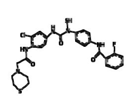 O=C(CN1CCSCC1)Nc1ccc(NC(=O)N(S)c2ccc(NC(=O)c3ccccc3F)cc2)cc1Cl